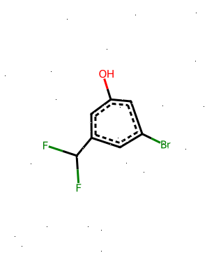 Oc1cc(Br)cc(C(F)F)c1